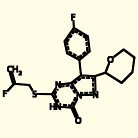 C=C(F)CSc1nc2c(-c3ccc(F)cc3)c(C3CCCCO3)nn2c(=O)[nH]1